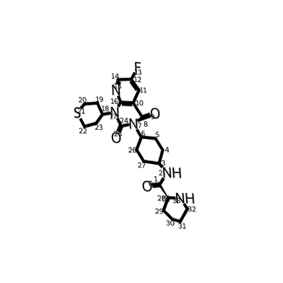 O=C(NC1CCC(n2c(=O)c3cc(F)cnc3n(C3CCSCC3)c2=O)CC1)[C@@H]1CCCCN1